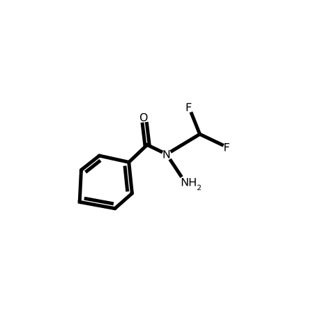 NN(C(=O)c1ccccc1)C(F)F